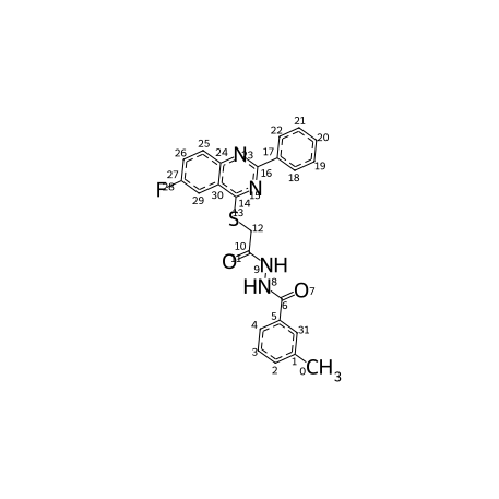 Cc1cccc(C(=O)NNC(=O)CSc2nc(-c3ccccc3)nc3ccc(F)cc23)c1